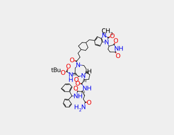 Cn1c(=O)n(C2CCC(=O)NC2=O)c2ccc(CC3CCC(CCC(=O)N4CC[C@H]5CC[C@@H](C(=O)N[C@@H](CCC(N)=O)C(=O)NC(c6ccccc6)c6ccccc6)N5C(=O)[C@@H](NC(=O)OC(C)(C)C)C4)CC3)cc21